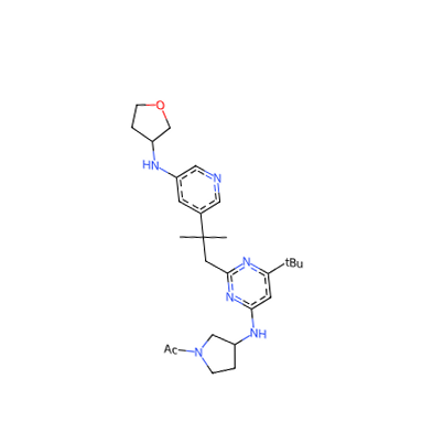 CC(=O)N1CCC(Nc2cc(C(C)(C)C)nc(CC(C)(C)c3cncc(NC4CCOC4)c3)n2)C1